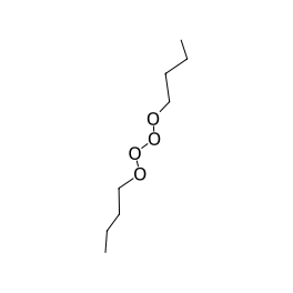 CCCCOOOOCCCC